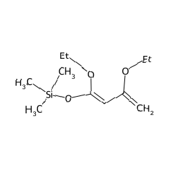 C=C(/C=C(\OCC)O[Si](C)(C)C)OCC